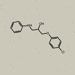 OC(CNc1ccccc1)COc1ccc(Cl)cc1